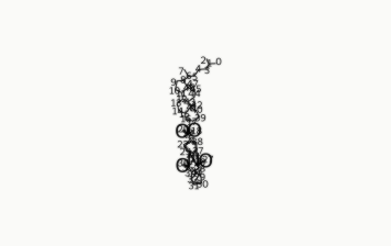 CC(C)CCCC(C)C1CCC2C3CCC4CC(OC(=O)c5ccc(N6C(=O)C7C8C=CC(C8)C7C6=O)cc5)CCC4(C)C3CCC12C